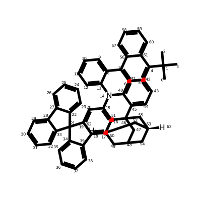 CC(C)(C)c1ccc(-c2ccccc2N(c2ccc3c(c2)C2(c4ccccc4-c4ccccc42)c2ccccc2-3)c2ccccc2C23CC4C[C@H](C2)C[C@@H](C4)C3)c2ccccc12